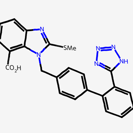 CSc1nc2cccc(C(=O)O)c2n1Cc1ccc(-c2ccccc2-c2nnn[nH]2)cc1